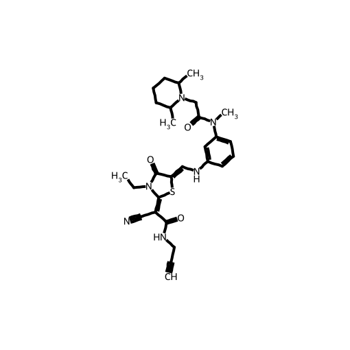 C#CCNC(=O)C(C#N)=c1sc(=CNc2cccc(N(C)C(=O)CN3C(C)CCCC3C)c2)c(=O)n1CC